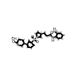 COc1ccc(-c2cccc(S(=O)(=O)n3ccc(C=CC(=O)Nc4ccccc4N)c3)c2)cn1